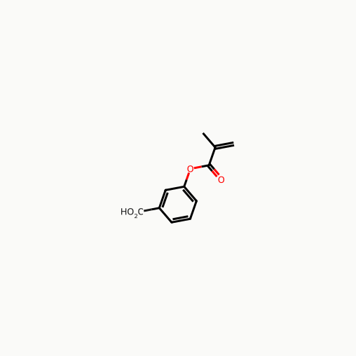 C=C(C)C(=O)Oc1cccc(C(=O)O)c1